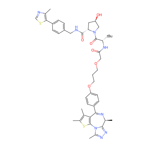 Cc1ncsc1-c1ccc(CNC(=O)[C@@H]2C[C@@H](O)CN2C(=O)[C@@H](NC(=O)COCCCOc2ccc(C3=N[C@@H](C)c4nnc(C)n4-c4sc(C)c(C)c43)cc2)C(C)(C)C)cc1